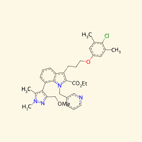 CCOC(=O)c1c(CCCOc2cc(C)c(Cl)c(C)c2)c2cccc(-c3c(COC)nn(C)c3C)c2n1Cc1cccnc1